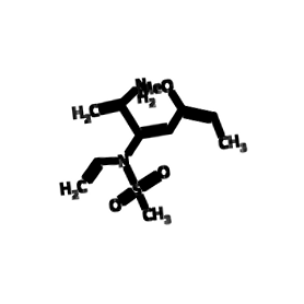 C=CN(/C(=C/C(=C\C)OC)C(=C)N)S(C)(=O)=O